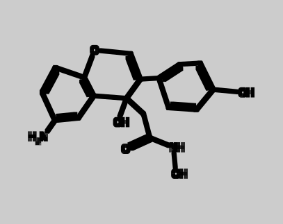 Nc1ccc2c(c1)C(O)(CC(=O)NO)C(c1ccc(O)cc1)=CO2